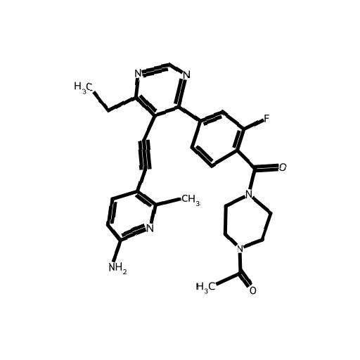 CCc1ncnc(-c2ccc(C(=O)N3CCN(C(C)=O)CC3)c(F)c2)c1C#Cc1ccc(N)nc1C